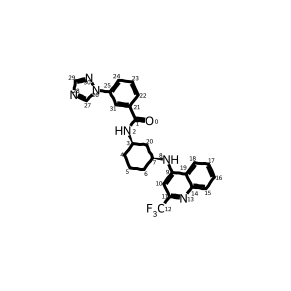 O=C(N[C@@H]1CCC[C@H](Nc2cc(C(F)(F)F)nc3ccccc23)C1)c1cccc(-n2cncn2)c1